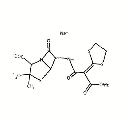 COC(=O)C(C(=O)NC1C(=O)N2C1SC(C)(C)C2C(=O)[O-])=C1SCCS1.[Na+]